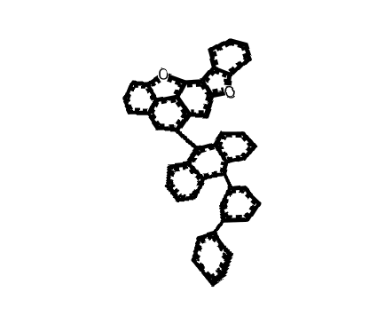 c1ccc(-c2cccc(-c3c4ccccc4c(-c4cc5cccc6oc7c8c(cc4c7c56)oc4ccccc48)c4ccccc34)c2)cc1